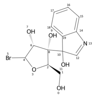 OC[C@H]1OC(Br)[C@H](O)[C@@]1(O)C1(O)C=Nc2ccccc21